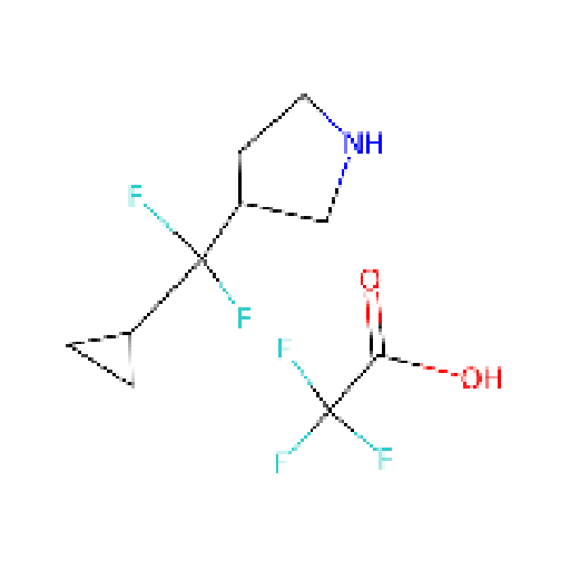 FC(F)(C1CC1)C1CCNC1.O=C(O)C(F)(F)F